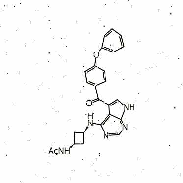 CC(=O)N[C@H]1C[C@@H](Nc2ncnc3[nH]cc(C(=O)c4ccc(Oc5ccccc5)cc4)c23)C1